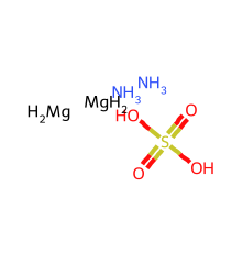 N.N.O=S(=O)(O)O.[MgH2].[MgH2]